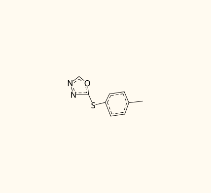 Cc1ccc(Sc2nnco2)cc1